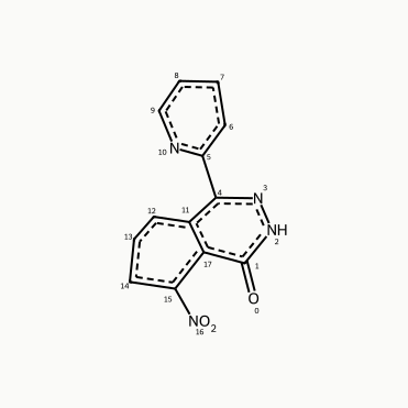 O=c1[nH]nc(-c2ccccn2)c2cccc([N+](=O)[O-])c12